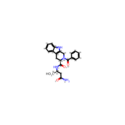 NC(=O)C[C@H](NC(=O)[C@H]1Cc2c([nH]c3ccccc23)CN1C(=O)c1ccccc1)C(=O)O